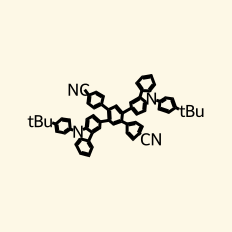 CC(C)(C)c1ccc(-n2c3ccccc3c3cc(-c4cc(-c5ccc(C#N)cc5)c(-c5ccc6c(c5)c5ccccc5n6-c5ccc(C(C)(C)C)cc5)cc4-c4ccc(C#N)cc4)ccc32)cc1